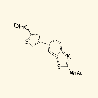 CC(=O)Nc1nc2ccc(-c3csc(C=O)c3)cc2s1